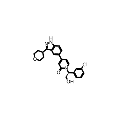 O=c1cc(-c2ccc3[nH]nc(C4CCOCC4)c3c2)ccn1[C@H](CO)c1cccc(Cl)c1